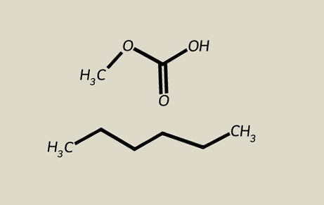 CCCCCC.COC(=O)O